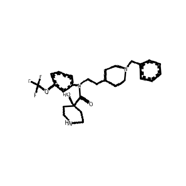 O=C(N(CCC1CCN(Cc2ccccc2)CC1)c1cccc(OC(F)(F)F)c1)C1(O)CCNCC1